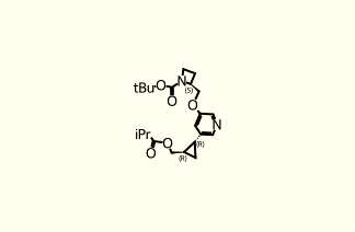 CC(C)C(=O)OC[C@@H]1C[C@H]1c1cncc(OC[C@@H]2CCN2C(=O)OC(C)(C)C)c1